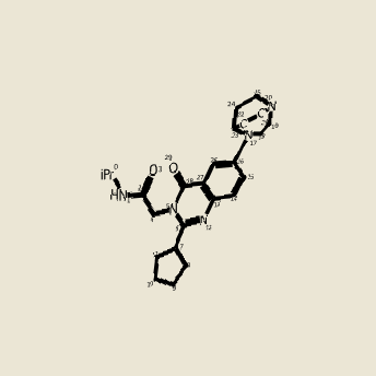 CC(C)NC(=O)Cn1c(C2CCCC2)nc2ccc(N3CCN4CCC3CC4)cc2c1=O